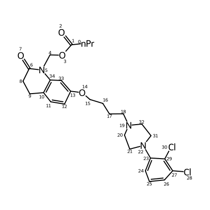 CCCC(=O)OCN1C(=O)CCc2ccc(OCCCCN3CCN(c4cccc(Cl)c4Cl)CC3)cc21